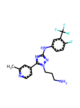 Cc1cc(-c2nc(Nc3ccc(F)c(C(F)(F)F)c3)nn2CCCN)ccn1